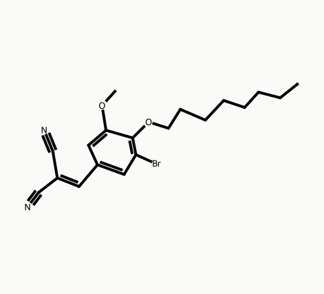 CCCCCCCCOc1c(Br)cc(C=C(C#N)C#N)cc1OC